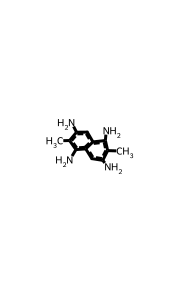 Cc1c(N)cc2c(N)c(C)c(N)cc2c1N